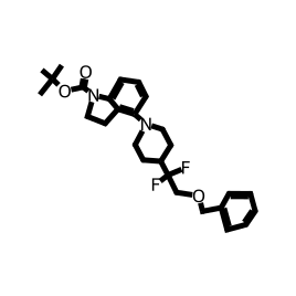 CC(C)(C)OC(=O)N1CCc2c(N3CCC(C(F)(F)COCc4ccccc4)CC3)cccc21